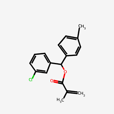 C=C(C)C(=O)OC(c1ccc(C)cc1)c1cccc(Cl)c1